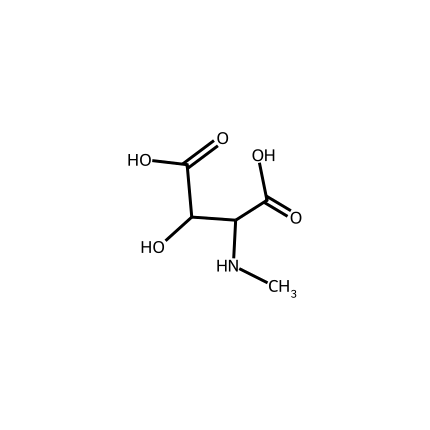 CNC(C(=O)O)C(O)C(=O)O